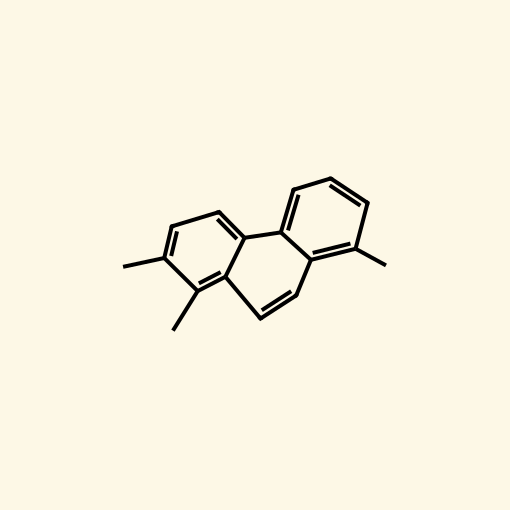 Cc1ccc2c(ccc3c(C)cccc32)c1C